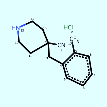 Cl.N#CC1(Cc2ccccc2C(F)(F)F)CCNCC1